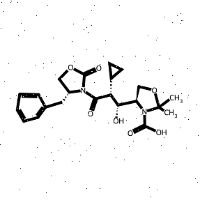 CC1(C)OC[C@H]([C@H](O)[C@H](C(=O)N2C(=O)OC[C@H]2Cc2ccccc2)C2CC2)N1C(=O)O